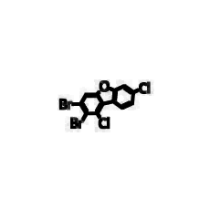 Clc1ccc2c(c1)oc1cc(Br)c(Br)c(Cl)c12